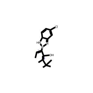 C/C=C(\C(O)=C(/C)C(C)(C)C)N1N=C2C=C(Cl)C=CC2N1